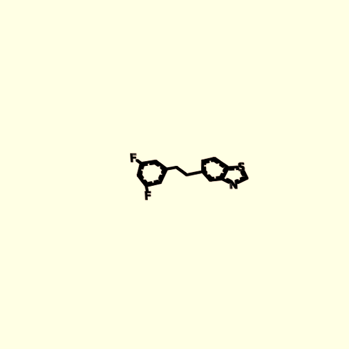 Fc1cc(F)cc(CCc2ccc3scnc3c2)c1